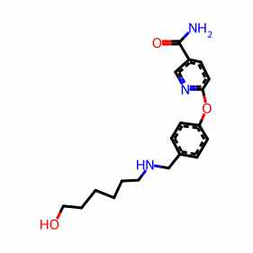 NC(=O)c1ccc(Oc2ccc(CNCCCCCCO)cc2)nc1